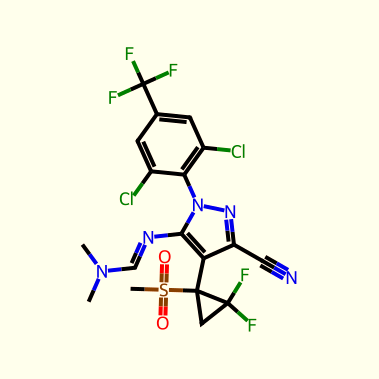 CN(C)C=Nc1c(C2(S(C)(=O)=O)CC2(F)F)c(C#N)nn1-c1c(Cl)cc(C(F)(F)F)cc1Cl